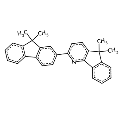 CC1(C)c2ccccc2-c2ccc(-c3ccc4c(n3)-c3ccccc3C4(C)C)cc21